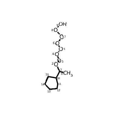 CC(OOOOOOOO)C1CCCCC1